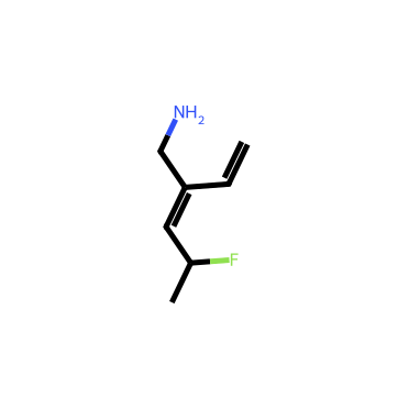 C=C/C(=C\C(C)F)CN